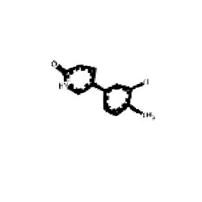 Cc1ccc(-c2ccc(=O)[nH]c2)cc1Cl